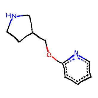 c1ccc(OCC2CCNC2)nc1